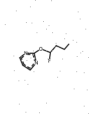 CCCC(F)Oc1ncccn1